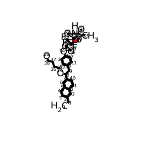 C=Cc1ccc2cc(C(Cc3ccc(OS(=O)(=O)C(F)(F)C(F)(F)S(=O)(=O)NS(C)(=O)=O)cc3)OCCCC=O)ccc2c1